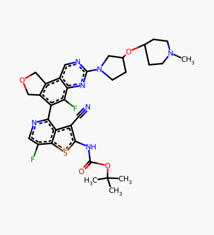 CN1CCC(OC2CCN(c3ncc4c5c(c(-c6ncc(F)c7sc(NC(=O)OC(C)(C)C)c(C#N)c67)c(F)c4n3)COC5)C2)CC1